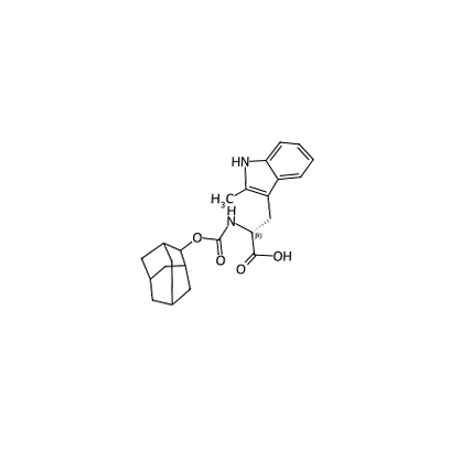 Cc1[nH]c2ccccc2c1C[C@@H](NC(=O)OC1C2CC3CC(C2)CC1C3)C(=O)O